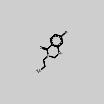 NCCN1CNc2cc(Br)ccc2C1=O